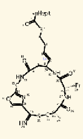 CCCCCCCC(=O)SCC/C=C/[C@@H]1CC(=O)NCc2nc(co2)C(=N)SC[C@@H](C)C(=O)N[C@@H](C(C)C)C(=O)N1